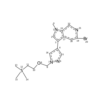 Cn1cc(-c2cnn(COCCS(C)(C)C)c2)c2cc(Br)ncc21